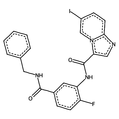 O=C(NCc1ccccc1)c1ccc(F)c(NC(=O)c2cnc3ccc(I)cn23)c1